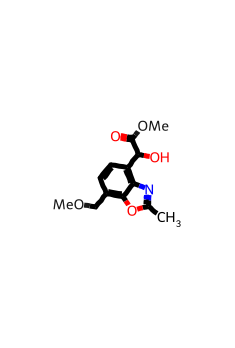 COCc1ccc(C(O)C(=O)OC)c2nc(C)oc12